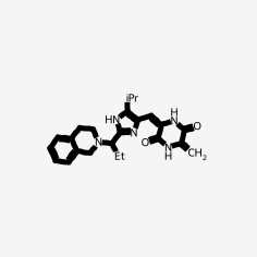 C=c1[nH]c(=O)c(=Cc2nc(C(CC)N3CCc4ccccc4C3)[nH]c2C(C)C)[nH]c1=O